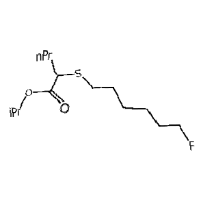 CCCC(SCCCCCCF)C(=O)OC(C)C